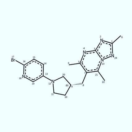 Cc1nc2nc(C)c(C[C@@H]3CCN(c4ccc(Br)nc4)C3)c(C)n2n1